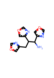 NC(c1cocn1)C(Cc1cocn1)c1cocn1